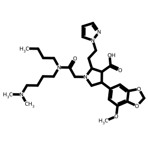 CCCCN(CCCCN(C)C)C(=O)CN1CC(c2cc(OC)c3c(c2)OCO3)C(C(=O)O)C1CCn1cccn1